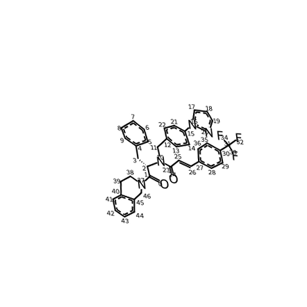 O=C([C@H](Cc1ccccc1)N(Cc1ccc(-n2cccn2)cc1)C(=O)/C=C/c1ccc(C(F)(F)F)cc1)N1CCc2ccccc2C1